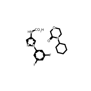 O=C(O)Nc1cnn(-c2cc(F)cc(F)c2)c1.O=C1COCCN1C1CCCCC1